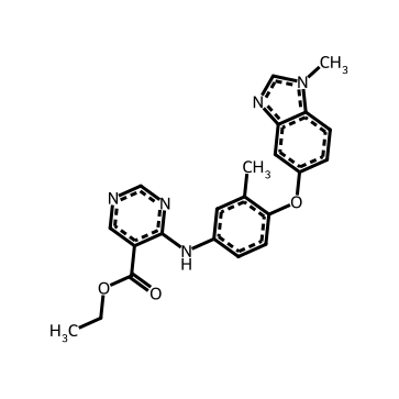 CCOC(=O)c1cncnc1Nc1ccc(Oc2ccc3c(c2)ncn3C)c(C)c1